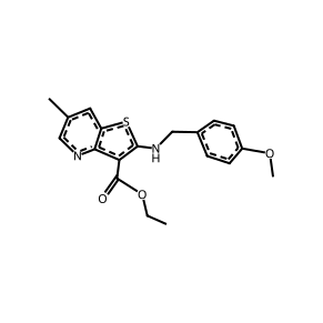 CCOC(=O)c1c(NCc2ccc(OC)cc2)sc2cc(C)cnc12